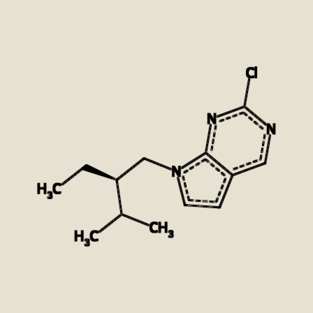 CC[C@@H](Cn1ccc2cnc(Cl)nc21)C(C)C